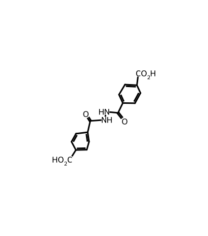 O=C(O)c1ccc(C(=O)NNC(=O)c2ccc(C(=O)O)cc2)cc1